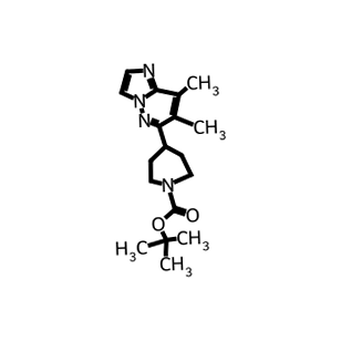 Cc1c(C2CCN(C(=O)OC(C)(C)C)CC2)nn2ccnc2c1C